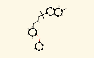 Cc1ccc2cc(C(C)(C)CCCc3cccc(Oc4ccccc4)c3)ccc2c1